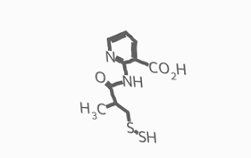 CC(CSS)C(=O)Nc1ncccc1C(=O)O